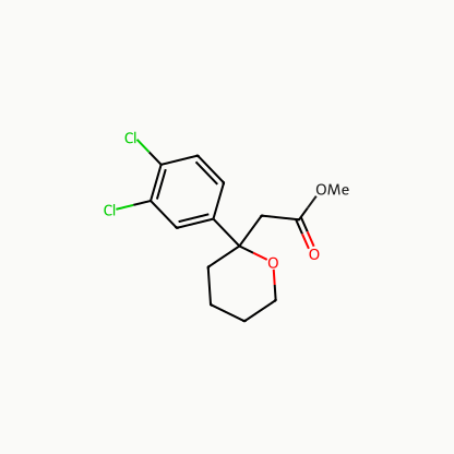 COC(=O)CC1(c2ccc(Cl)c(Cl)c2)CCCCO1